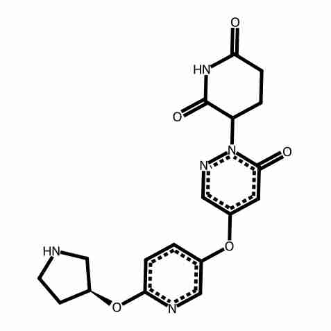 O=C1CCC(n2ncc(Oc3ccc(O[C@H]4CCNC4)nc3)cc2=O)C(=O)N1